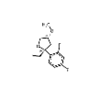 CO[C@H]1CO[C@@](CI)(c2ccc(F)cc2F)C1